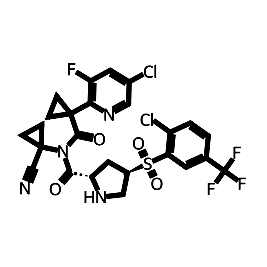 N#CC1(N(C(=O)[C@@H]2C[C@@H](S(=O)(=O)c3cc(C(F)(F)F)ccc3Cl)CN2)C(=O)C2(c3ncc(Cl)cc3F)CC2)CC1